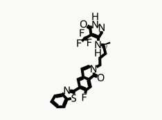 C[C@@H](CCCn1ccc2cc(-c3nc4ccccc4s3)c(F)cc2c1=O)Nc1cn[nH]c(=O)c1C(F)(F)F